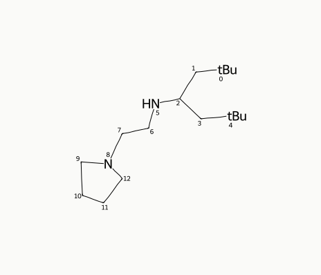 CC(C)(C)CC(CC(C)(C)C)NCCN1CCCC1